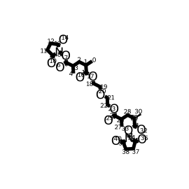 CC(CC(C)C(=O)ON1C(=O)CCC1=O)C(=O)OCCOCCOC(=O)C(C)C[C@@H](C)C(=O)ON1C(=O)CCC1=O